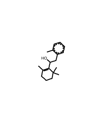 CC1=C(C(O)Cc2ccccc2C)C(C)(C)CCC1